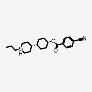 CCC[SiH]1CCC([C@H]2CC[C@H](OC(=O)c3ccc(C#N)cc3)CC2)CC1